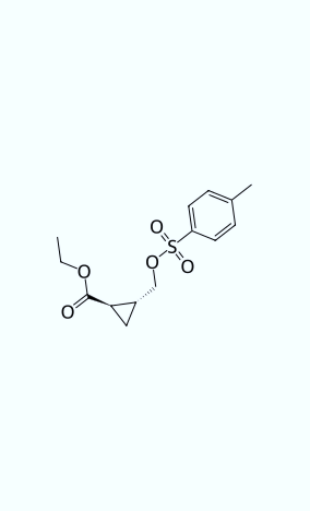 CCOC(=O)[C@@H]1C[C@H]1COS(=O)(=O)c1ccc(C)cc1